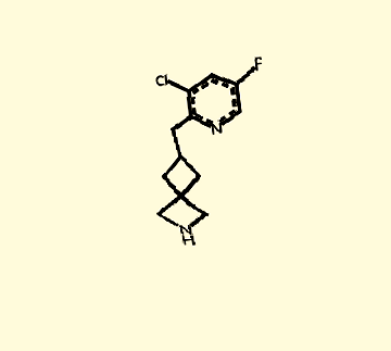 Fc1cnc(CC2CC3(CNC3)C2)c(Cl)c1